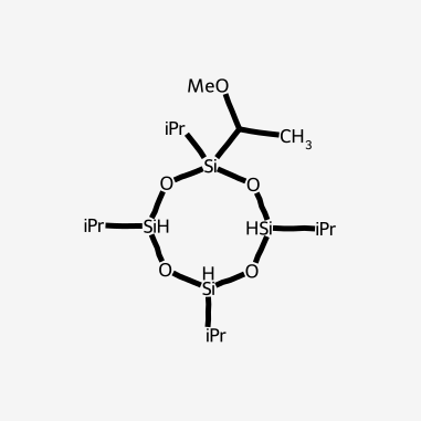 COC(C)[Si]1(C(C)C)O[SiH](C(C)C)O[SiH](C(C)C)O[SiH](C(C)C)O1